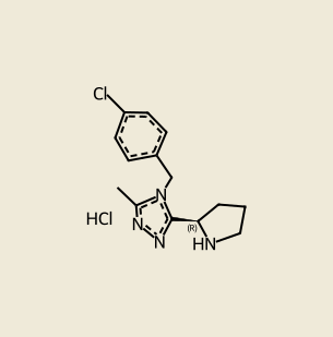 Cc1nnc([C@H]2CCCN2)n1Cc1ccc(Cl)cc1.Cl